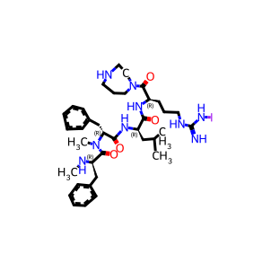 CN[C@H](Cc1ccccc1)C(=O)N(C)[C@H](Cc1ccccc1)C(=O)N[C@H](CC(C)C)C(=O)N[C@H](CCCNC(=N)NI)C(=O)N1CCCNCC1